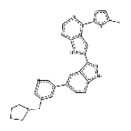 Cc1ccc(-c2nccc3[nH]c(-c4n[nH]c5ccc(-c6cncc(CN7CCCC7)c6)cc45)cc23)s1